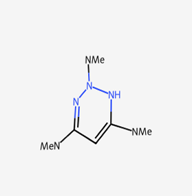 CNC1=CC(NC)=NN(NC)N1